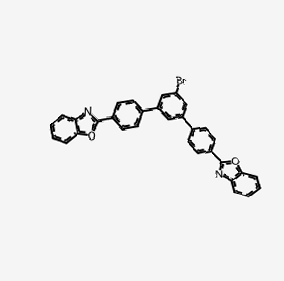 Brc1cc(-c2ccc(-c3nc4ccccc4o3)cc2)cc(-c2ccc(-c3nc4ccccc4o3)cc2)c1